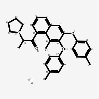 Cc1ccc(Oc2cc3cccc(C(=O)C(C)N4CCCC4)c3c(C)c2Oc2ccc(C)cc2)cc1.Cl